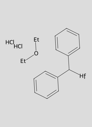 CCOCC.Cl.Cl.[Hf][CH](c1ccccc1)c1ccccc1